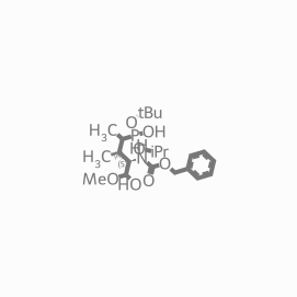 COC(O)[C@@H](NC(=O)OCc1ccccc1)[C@@H](C)C(C)[PH](O)(OC(C)C)OC(C)(C)C